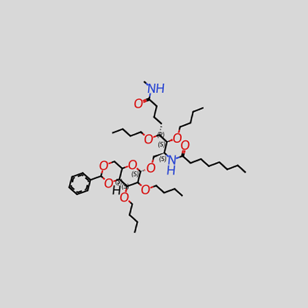 CCCCCCCC(=O)N[C@@H](CO[C@H]1OC2COC(c3ccccc3)O[C@@H]2[C@H](OCCCC)C1OCCCC)[C@H](OCCCC)[C@@H](CCCC(=O)NC)OCCCC